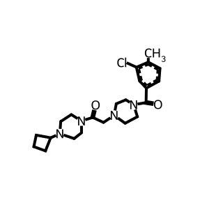 Cc1ccc(C(=O)N2CCN(CC(=O)N3CCN(C4CCC4)CC3)CC2)cc1Cl